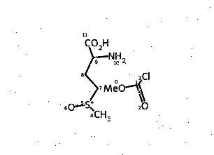 COC(=O)Cl.C[S+]([O-])CCC(N)C(=O)O